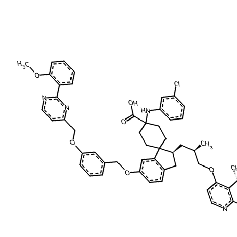 COc1ccccc1-c1nccc(COc2cccc(COc3ccc4c(c3)C3(CCC(Nc5cccc(Cl)c5)(C(=O)O)CC3)[C@@H](C[C@@H](C)COc3ccnc5c3[C@H](C)CCC5)C4)c2)n1